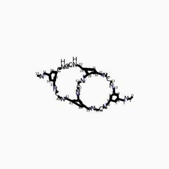 CC/N=C/c1cc2cc(c1)/C=N/CC/N=C/c1cc3cc(c1)CNCCNCc1cc(/C=N/C)cc(c1)/C=N/CC/N=C/c1cc(cc(c1)/C=N/CC/N=C/3)/C=N/CC/N=C/2